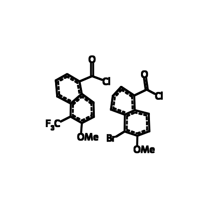 COc1ccc2c(C(=O)Cl)cccc2c1Br.COc1ccc2c(C(=O)Cl)cccc2c1C(F)(F)F